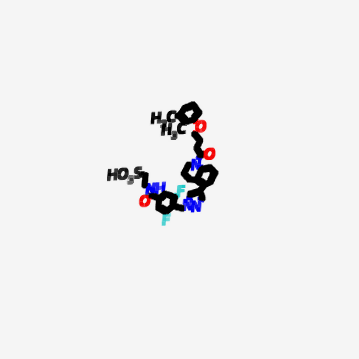 Cc1cccc(OCCCC(=O)N2CCCc3c(-c4cnn(Cc5c(F)cc(C(=O)NCCS(=O)(=O)O)cc5F)c4)cccc32)c1C